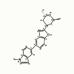 C[C@H]1CN(c2nc3cc(-c4ccc5c(ccn5C)c4)ccc3o2)C[C@H](C)O1